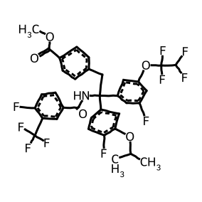 COC(=O)c1ccc(CC(NC(=O)c2ccc(F)c(C(F)(F)F)c2)(c2cc(F)cc(OC(F)(F)C(F)F)c2)c2ccc(F)c(OC(C)C)c2)cc1